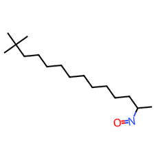 CC(CCCCCCCCCCC(C)(C)C)N=O